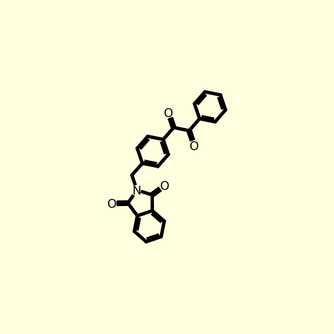 O=C(C(=O)c1ccc(CN2C(=O)c3ccccc3C2=O)cc1)c1ccccc1